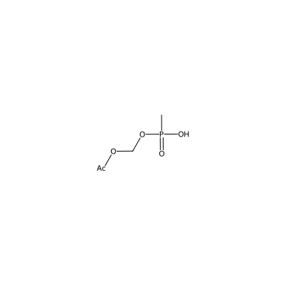 CC(=O)OCOP(C)(=O)O